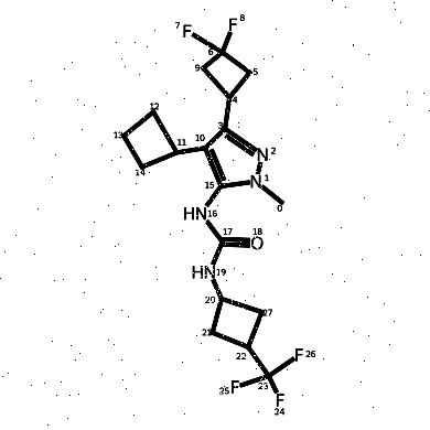 Cn1nc(C2CC(F)(F)C2)c(C2CCC2)c1NC(=O)NC1CC(C(F)(F)F)C1